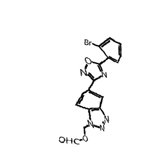 O=COCn1nnc2cc(-c3noc(-c4ccccc4Br)n3)ccc21